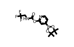 CC1(C)OB(c2ccnc(OC(=O)NCC(F)(F)F)c2)OC1(C)C